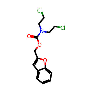 O=C(OCc1cc2ccccc2o1)N(CCCl)CCCl